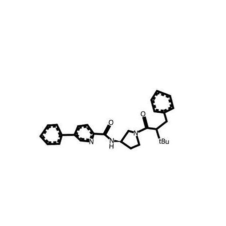 CC(C)(C)[C](Cc1ccccc1)C(=O)N1CC[C@@H](NC(=O)c2ccc(-c3ccccc3)cn2)C1